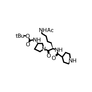 CC(=O)NCCCC[C@@H](NC(=O)C1CCNCC1)C(=O)N1CC[C@H](NC(=O)OC(C)(C)C)C1